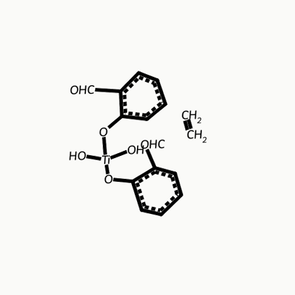 C=C.O=Cc1ccccc1[O][Ti]([OH])([OH])[O]c1ccccc1C=O